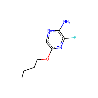 CCCCOc1cnc(N)c(F)n1